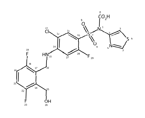 O=C(O)N(c1cscn1)S(=O)(=O)c1cc(Cl)c(NCc2c(F)ccc(F)c2CO)cc1F